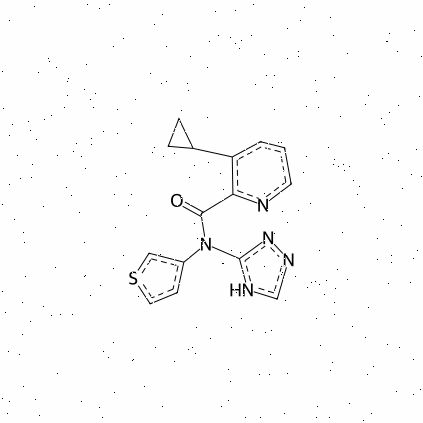 O=C(c1ncccc1C1CC1)N(c1ccsc1)c1nnc[nH]1